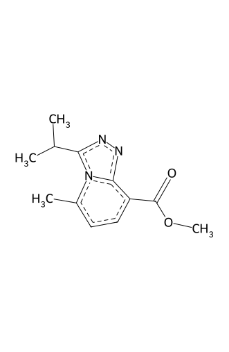 COC(=O)c1ccc(C)n2c(C(C)C)nnc12